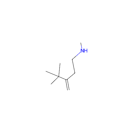 C=C(CCNC)C(C)(C)C